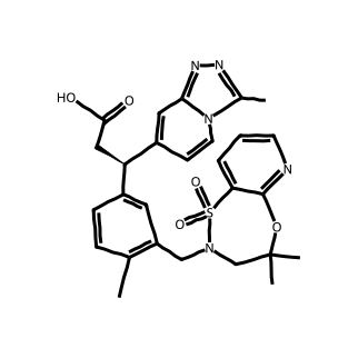 Cc1ccc([C@@H](CC(=O)O)c2ccn3c(C)nnc3c2)cc1CN1CC(C)(C)Oc2ncccc2S1(=O)=O